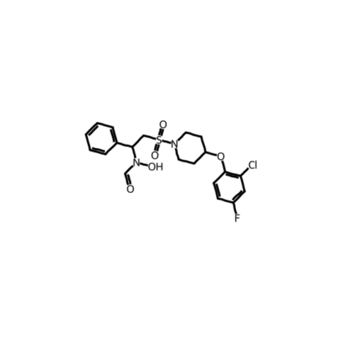 O=CN(O)C(CS(=O)(=O)N1CCC(Oc2ccc(F)cc2Cl)CC1)c1ccccc1